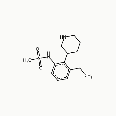 CCc1cccc(NS(C)(=O)=O)c1C1CCCNC1